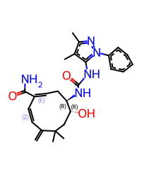 C=C1/C=C\C(C(N)=O)=C/C[C@@H](NC(=O)Nc2c(C)c(C)nn2-c2ccccc2)[C@H](O)CC1(C)C